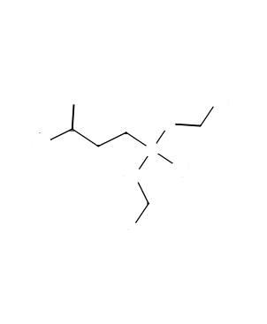 CCO[Si](C)(CCC(O)S)OCC